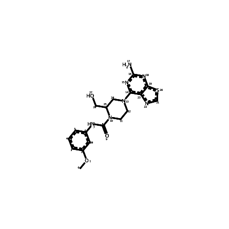 COc1cccc(NC(=O)N2CCN(c3nc(N)nc4scnc34)CC2CO)c1